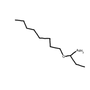 CCCCCCCCOC([AsH2])CC